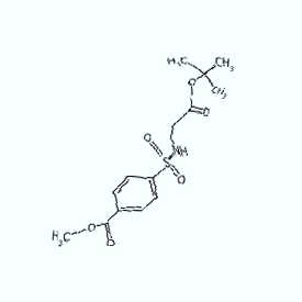 COC(=O)c1ccc(S(=O)(=O)NCC(=O)OC(C)(C)C)cc1